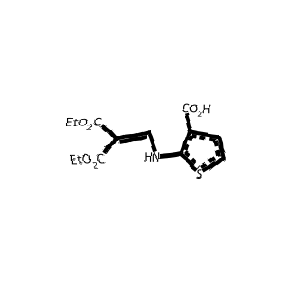 CCOC(=O)C(=CNc1sccc1C(=O)O)C(=O)OCC